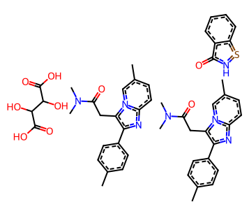 Cc1ccc(-c2nc3ccc(C)cn3c2CC(=O)N(C)C)cc1.Cc1ccc(-c2nc3ccc(C)cn3c2CC(=O)N(C)C)cc1.O=C(O)C(O)C(O)C(=O)O.O=c1[nH]sc2ccccc12